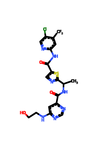 CC(NC(=O)c1cc(NCCO)ncn1)c1ncc(C(=O)Nc2cc(C(F)(F)F)c(Cl)cn2)s1